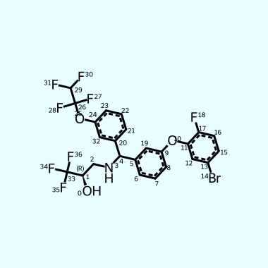 O[C@H](CNC(c1cccc(Oc2cc(Br)ccc2F)c1)c1cccc(OC(F)(F)C(F)F)c1)C(F)(F)F